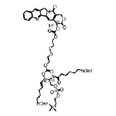 CCCCCCCCCCCCC/C=C/[C@@H](OC(=O)OCCSSCCOC(=O)O[C@]1(CC)C(=O)OCc2c1cc1n(c2=O)Cc2cc3ccccc3nc2-1)[C@H](COP(=O)([O-])OCC[N+](C)(C)C)NC(=O)CCCCCCCCCCCCCCC